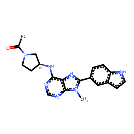 CCC(=O)N1CC[C@H](Nc2ncnc3c2nc(-c2ccc4[nH]ccc4c2)n3C)C1